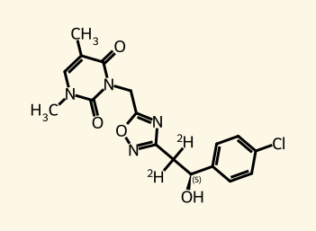 [2H]C([2H])(c1noc(Cn2c(=O)c(C)cn(C)c2=O)n1)[C@H](O)c1ccc(Cl)cc1